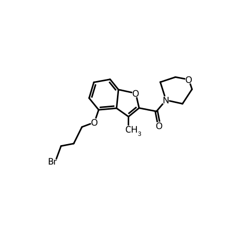 Cc1c(C(=O)N2CCOCC2)oc2cccc(OCCCBr)c12